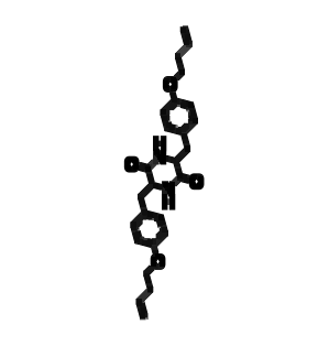 C=CCCOc1ccc(CC2NC(=O)C(Cc3ccc(OCCC=C)cc3)NC2=O)cc1